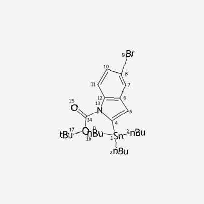 CCC[CH2][Sn]([CH2]CCC)([CH2]CCC)[c]1cc2cc(Br)ccc2n1C(=O)OC(C)(C)C